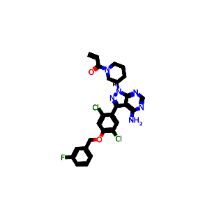 C=CC(=O)N1CCC[C@@H](n2nc(-c3cc(Cl)c(OCc4cccc(F)c4)cc3Cl)c3c(N)ncnc32)C1